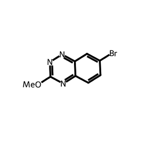 COc1nnc2cc(Br)ccc2n1